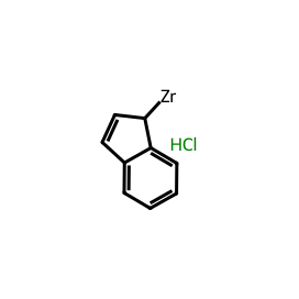 Cl.[Zr][CH]1C=Cc2ccccc21